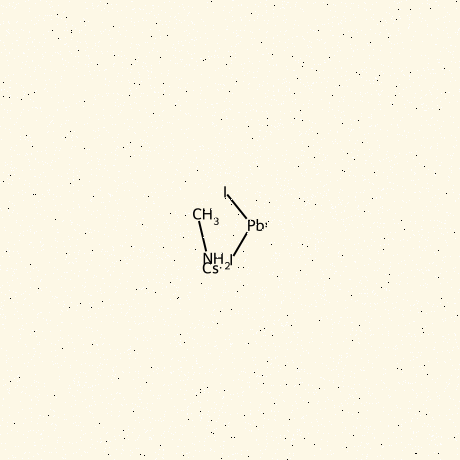 CN.[Cs].[I][Pb][I]